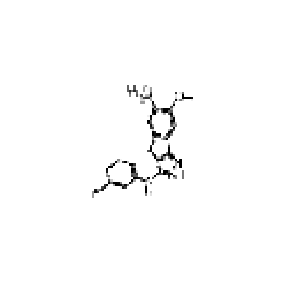 Bc1cc2c(cc1OC)-c1n[nH]c(NC3=CCCC(F)=C3)c1C2